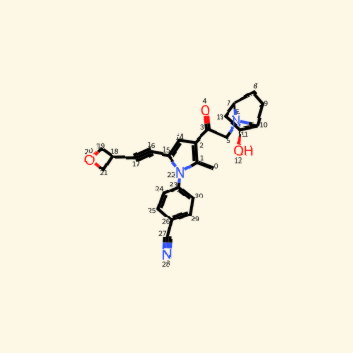 Cc1c(C(=O)CN2C3CCC2[C@@H](O)C3)cc(C#CC2COC2)n1-c1ccc(C#N)cc1